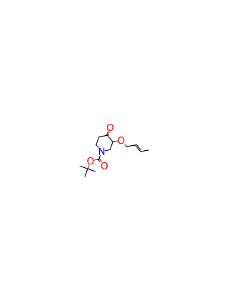 C/C=C/COC1CN(C(=O)OC(C)(C)C)CCC1=O